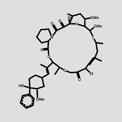 CCC1/C=C(\C)CC(C)CC(OC)C2OC(O)(C(=O)C(=O)N3CCCCC3C(=O)OC(C(C)=CC3CCC(O)(c4ccccc4)C(OC)C3)C(C)CCC1=O)C(C)CC2OC